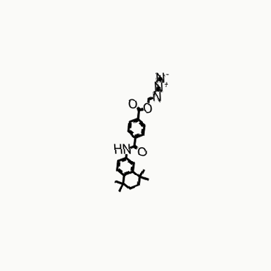 CC1(C)CCC(C)(C)c2cc(NC(=O)c3ccc(C(=O)OCN=[N+]=[N-])cc3)ccc21